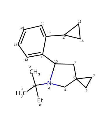 CCC(C)(C)N1CC2(CC2)CC1c1ccccc1C1CC1